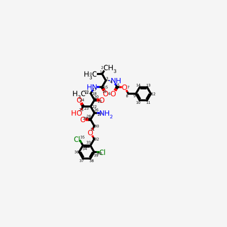 CC(C)[C@H](NC(=O)OCc1ccccc1)C(=O)N[C@@H](C)C(=O)C(C(=O)O)C(N)C(=O)COCc1c(Cl)cccc1Cl